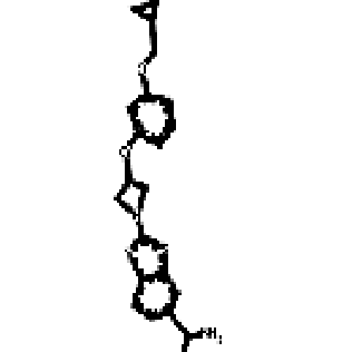 CC(N)c1ccc2nc(N3CC(Oc4cccc(OCC5CC5)c4)C3)sc2c1